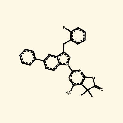 CC1(C)C(=O)Nc2nc(-n3nc(Cc4ccccc4F)c4cc(-c5ccccc5)ccc43)nc(N)c21